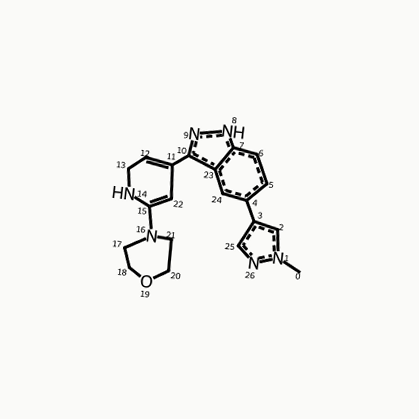 Cn1cc(-c2ccc3[nH]nc(C4=CCNC(N5CCOCC5)=C4)c3c2)cn1